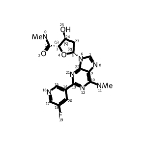 CNC(=O)[C@H]1O[C@@H](n2cnc3c(NC)nc(-c4cncc(F)c4)nc32)C[C@@H]1O